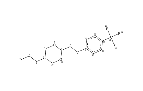 CCCC1COC(CCc2ccc(C(F)(F)F)cc2)OC1